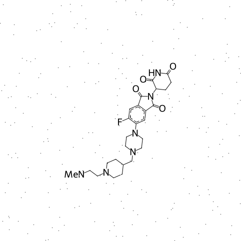 CNCCN1CCC(CN2CCN(c3cc4c(cc3F)C(=O)N(C3CCC(=O)NC3=O)C4=O)CC2)CC1